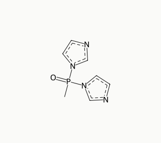 CP(=O)(n1ccnc1)n1ccnc1